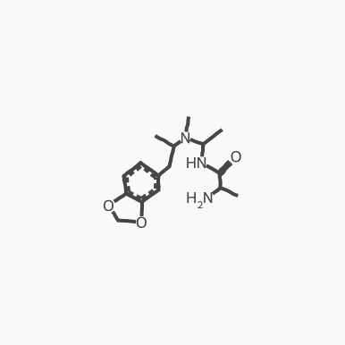 CC(N)C(=O)NC(C)N(C)C(C)Cc1ccc2c(c1)OCO2